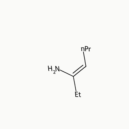 CCC/C=C(\N)CC